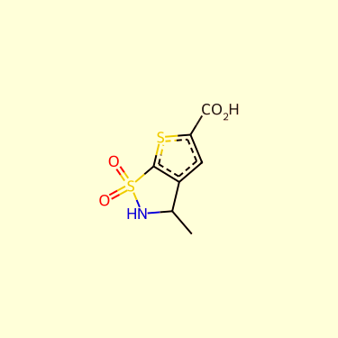 CC1NS(=O)(=O)c2sc(C(=O)O)cc21